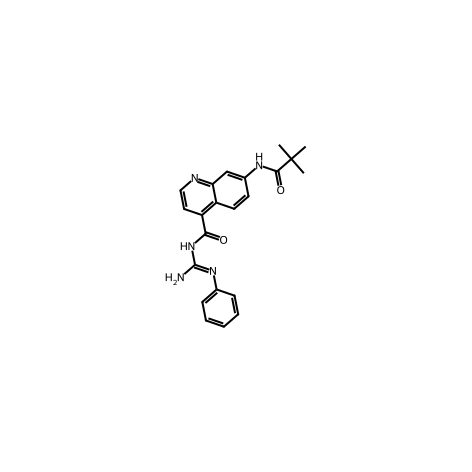 CC(C)(C)C(=O)Nc1ccc2c(C(=O)NC(N)=Nc3ccccc3)ccnc2c1